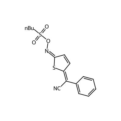 CCCCS(=O)(=O)ON=C1C=C/C(=C(/C#N)c2ccccc2)S1